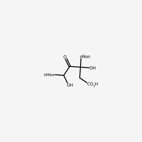 CCCCCCCCCC(O)(CC(=O)O)C(=O)C(O)CCCCCC